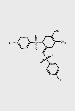 CC1=C(C)C/S(=N\S(=O)(=O)c2ccc(Cl)cc2)C(S(=O)(=O)c2ccc(Cl)cc2)C1